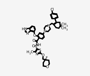 Cc1nc(OCC2(F)CCOCC2)sc1[S+]([O-])NC(=O)c1ccc(N2CCN(CC3=C(c4ccc(Cl)cc4)CC(C)(C)CC3)CC2)cc1Oc1cccc2[nH]cnc12